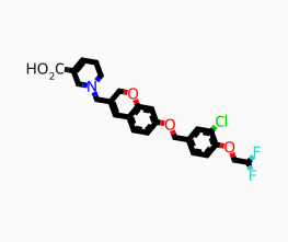 O=C(O)C1=CCCN(CC2=Cc3ccc(OCc4ccc(OCC(F)F)c(Cl)c4)cc3OC2)C1